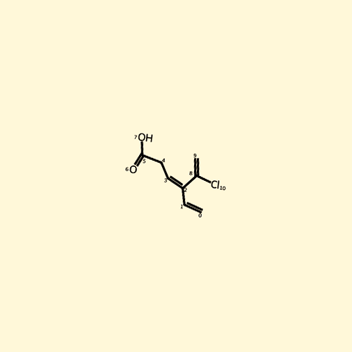 C=CC(=CCC(=O)O)C(=C)Cl